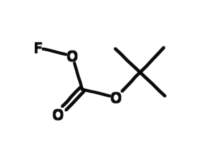 CC(C)(C)OC(=O)OF